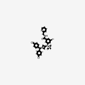 CS(=O)(=O)N(c1cc(F)cc(C(=O)NCc2ccccn2)c1)C1CN(C(c2ccc(Cl)cc2)c2ccc(Cl)cc2)C1